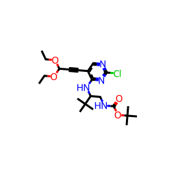 CCOC(C#Cc1cnc(Cl)nc1NC(CNC(=O)OC(C)(C)C)C(C)(C)C)OCC